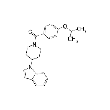 CC(C)Oc1ccc(C(=O)N2CCC(n3ccc4ccccc43)CC2)cc1